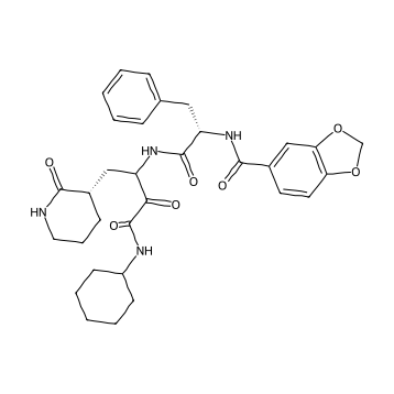 O=C(NC1CCCCC1)C(=O)C(C[C@@H]1CCCNC1=O)NC(=O)[C@H](Cc1ccccc1)NC(=O)c1ccc2c(c1)OCO2